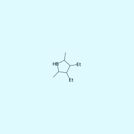 CCC1C(C)BC(C)C1CC